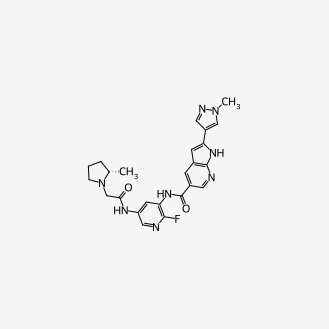 C[C@H]1CCCN1CC(=O)Nc1cnc(F)c(NC(=O)c2cnc3[nH]c(-c4cnn(C)c4)cc3c2)c1